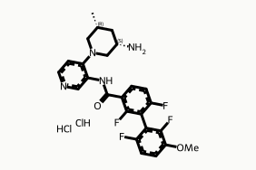 COc1ccc(F)c(-c2c(F)ccc(C(=O)Nc3cnccc3N3C[C@H](C)C[C@H](N)C3)c2F)c1F.Cl.Cl